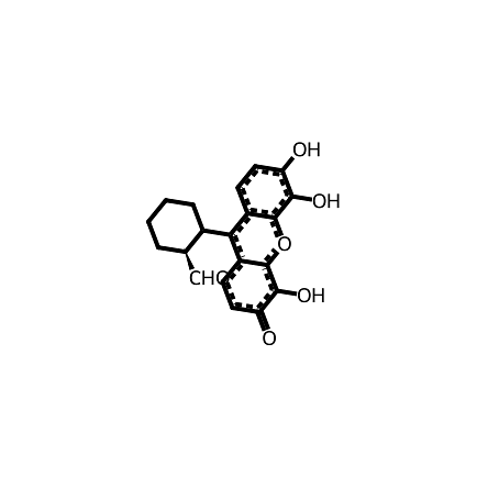 O=C[C@H]1CCCCC1c1c2ccc(=O)c(O)c-2oc2c(O)c(O)ccc12